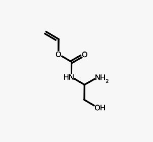 C=COC(=O)NC(N)CO